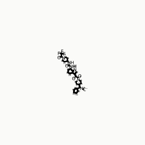 [C-]#[N+]C(=C1CCN(C(=O)C(=O)c2c[nH]c3c(NC(=O)NC4CCN(C(=O)C(F)(F)F)CC4)cccc23)CC1)c1ccccc1